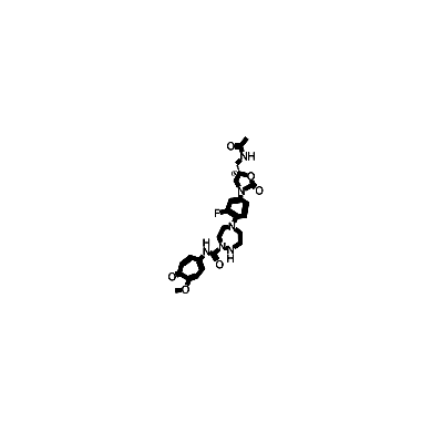 COc1ccc(NC(=O)N2CCN(c3ccc(N4C[C@H](CNC(C)=O)OC4=O)cc3F)CCN2)ccc1=O